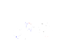 COc1cc(-c2nc(-c3cccnc3C)no2)ccc1C